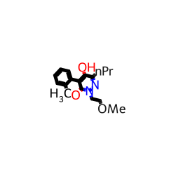 CCCc1nn(CCOC)c(=O)c(-c2ccccc2C)c1O